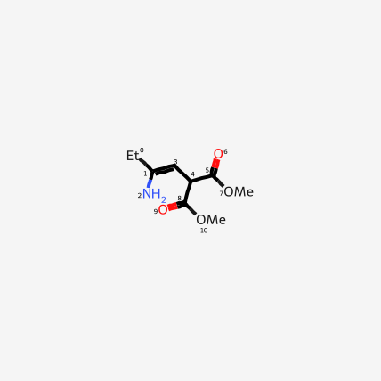 CC/C(N)=C/C(C(=O)OC)C(=O)OC